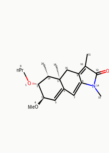 CCCO[C@H]1[C@H](OC)C=C2C=C3C(=C(C)C(=O)N3C)C[C@]2(C)[C@H]1C